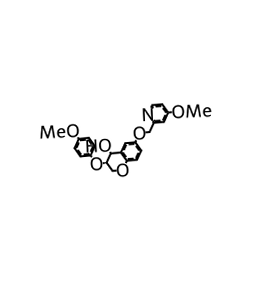 COc1ccc(O[C@@H]2COc3ccc(OCc4cc(OC)ccn4)cc3[C@@H]2O)cc1